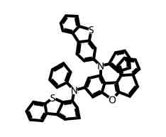 c1ccc(N(c2cc(N(c3ccccc3)c3ccc4c(c3)sc3ccccc34)c3c(c2)oc2ccc4ccccc4c23)c2cccc3c2sc2ccccc23)cc1